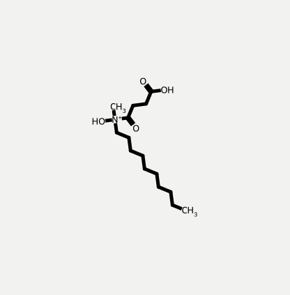 CCCCCCCCCC[N+](C)(O)C(=O)CCC(=O)O